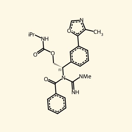 CNC(=N)N(C(=O)c1ccccc1)[C@H](COC(=O)NC(C)C)c1cccc(-c2ocnc2C)c1